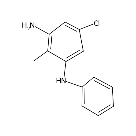 Cc1c(N)cc(Cl)cc1Nc1ccccc1